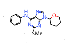 CSc1nc(Nc2ccccc2)c2ncn(C3CCCCO3)c2n1